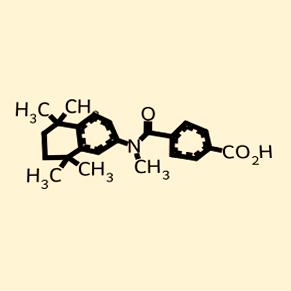 CN(C(=O)c1ccc(C(=O)O)cc1)c1ccc2c(c1)C(C)(C)CCC2(C)C